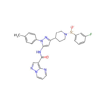 Cc1ccc(-n2nc(C3CCN([S+]([O-])c4cccc(F)c4)CC3)cc2NC(=O)c2cnn3cccnc23)cc1